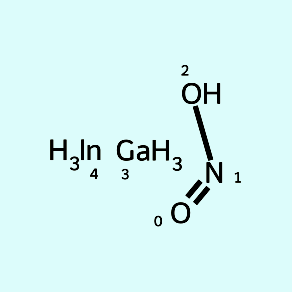 O=NO.[GaH3].[InH3]